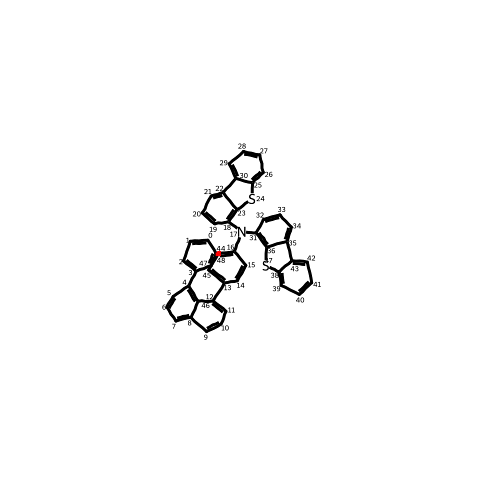 c1ccc(-c2cccc3cccc(-c4ccc(N(c5cccc6c5sc5ccccc56)c5cccc6c5sc5ccccc56)cc4)c23)cc1